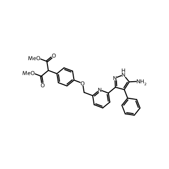 COC(=O)C(C(=O)OC)c1ccc(OCc2cccc(-c3n[nH]c(N)c3-c3ccccc3)n2)cc1